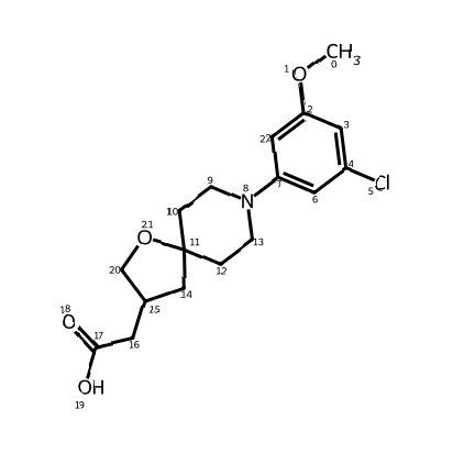 COc1cc(Cl)cc(N2CCC3(CC2)CC(CC(=O)O)CO3)c1